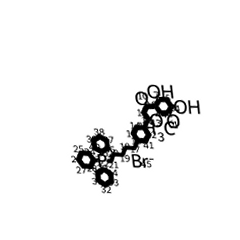 COc1c(O)cc(O)c2c(=O)cc(-c3ccc(CCCCC[P+](c4ccccc4)(c4ccccc4)c4ccccc4)cc3)oc12.[Br-]